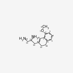 COc1cccc2c1C=C(CC(N)CN)CC2